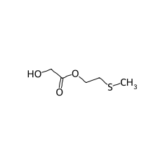 CSCCOC(=O)CO